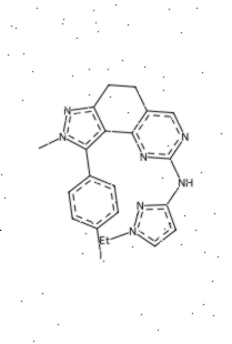 CCn1ccc(Nc2ncc3c(n2)-c2c(nn(C)c2-c2ccc(I)cc2)CC3)n1